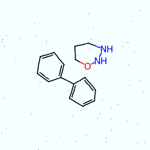 C1CNNOC1.c1ccc(-c2ccccc2)cc1